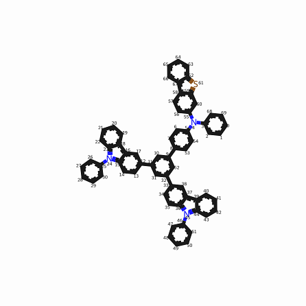 c1ccc(N(c2ccc(-c3cc(-c4ccc5c(c4)c4ccccc4n5-c4ccccc4)cc(-c4ccc5c(c4)c4ccccc4n5-c4ccccc4)c3)cc2)c2ccc3c(c2)sc2ccccc23)cc1